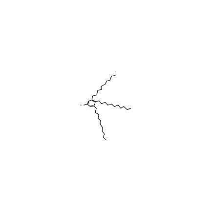 [CH2]c1cc(CCCCCCCCCCC)c(CCCCCCCCCCC)c(CCCCCCCCCCC)c1